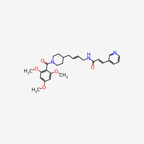 COc1cc(OC)c(C(=O)N2CCC(C/C=C/CNC(=O)/C=C/c3cccnc3)CC2)c(OC)c1